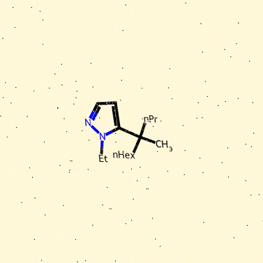 CCCCCCC(C)(CCC)c1ccnn1CC